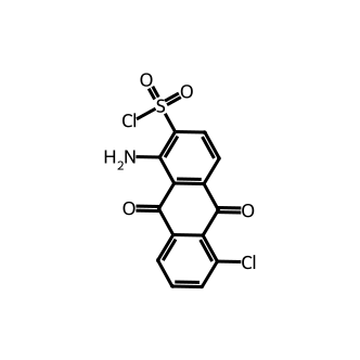 Nc1c(S(=O)(=O)Cl)ccc2c1C(=O)c1cccc(Cl)c1C2=O